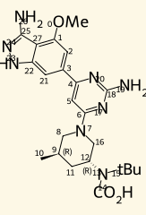 COc1cc(-c2cc(N3C[C@H](C)C[C@@H](N(C(=O)O)C(C)(C)C)C3)nc(N)n2)cc2[nH]nc(N)c12